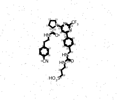 N#Cc1ccc(CCNC(=O)[C@@H]2CCCN2c2cc(-c3ccc(CNC(=O)NCCCS(=O)(=O)O)cc3)nc(C(F)(F)F)n2)cc1